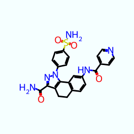 NC(=O)c1nn(-c2ccc(S(N)(=O)=O)cc2)c2c1CCc1ccc(NC(=O)c3ccncc3)cc1-2